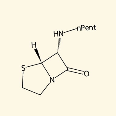 CCCCCN[C@@H]1C(=O)N2CCS[C@H]12